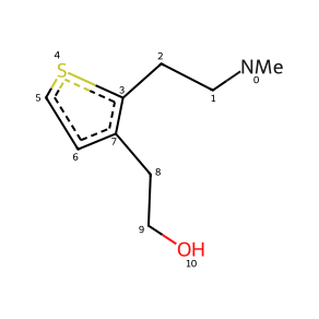 CNCCc1sccc1CCO